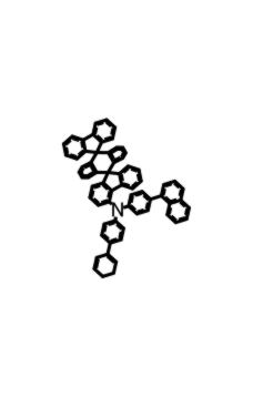 C1=CC(c2ccc(N(c3ccc(-c4cccc5ccccc45)cc3)c3cccc4c3-c3ccccc3C43c4ccccc4C4(c5ccccc5-c5ccccc54)c4ccccc43)cc2)=CCC1